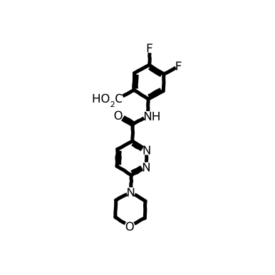 O=C(Nc1cc(F)c(F)cc1C(=O)O)c1ccc(N2CCOCC2)nn1